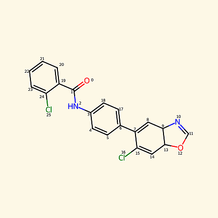 O=C(Nc1ccc(C2=CC3N=COC3C=C2Cl)cc1)c1ccccc1Cl